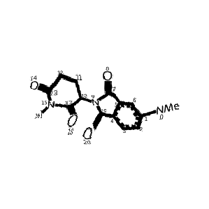 CNc1ccc2c(c1)C(=O)N(C1CCC(=O)N(I)C1=O)C2=O